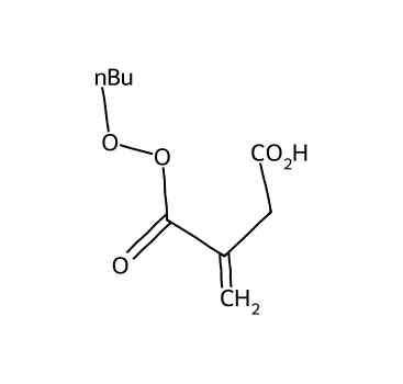 C=C(CC(=O)O)C(=O)OOCCCC